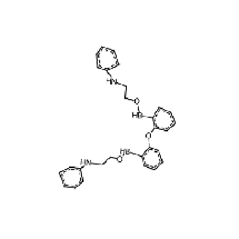 B(OCCNc1ccccc1)c1ccccc1Oc1ccccc1BOCCNc1ccccc1